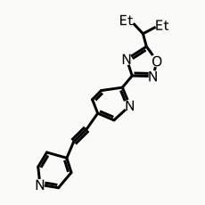 CCC(CC)c1nc(-c2ccc(C#Cc3ccncc3)cn2)no1